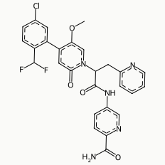 COc1cn(C(Cc2ccccn2)C(=O)Nc2ccc(C(N)=O)nc2)c(=O)cc1-c1cc(Cl)ccc1C(F)F